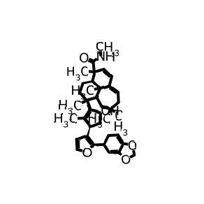 CNC(=O)C1(C)C=CC2=CCC(C)(C)CC3C(C)(C4=C(C)[C@H](c5ccoc5C5C=C6OCOC6=CC5)CC4O)CCC1C23C